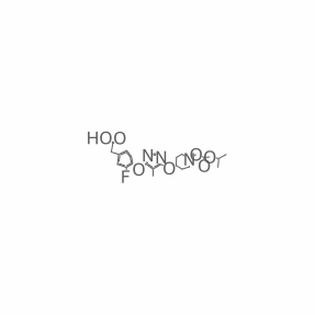 Cc1c(Oc2ccc(CC(=O)O)cc2F)ncnc1OC1CCN(OC(=O)OC(C)C)CC1